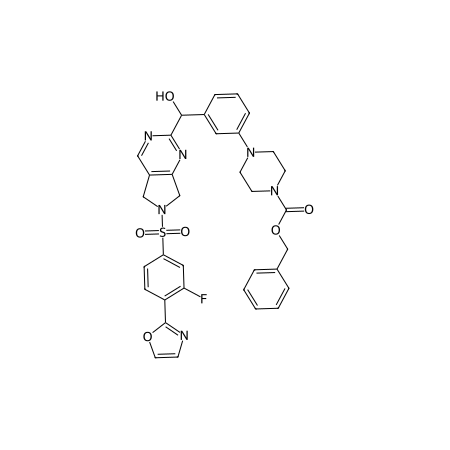 O=C(OCc1ccccc1)N1CCN(c2cccc(C(O)c3ncc4c(n3)CN(S(=O)(=O)c3ccc(-c5ncco5)c(F)c3)C4)c2)CC1